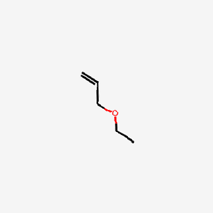 C=CCOCC